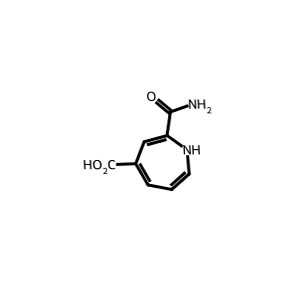 NC(=O)C1=CC(C(=O)O)=CC=CN1